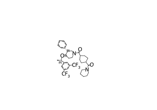 C[C@@H](O[C@H]1CCN(C(=O)C2CCC(C(=O)N3CCCCC3)CC2)C[C@H]1c1ccccc1)c1cc(C(F)(F)F)cc(C(F)(F)F)c1